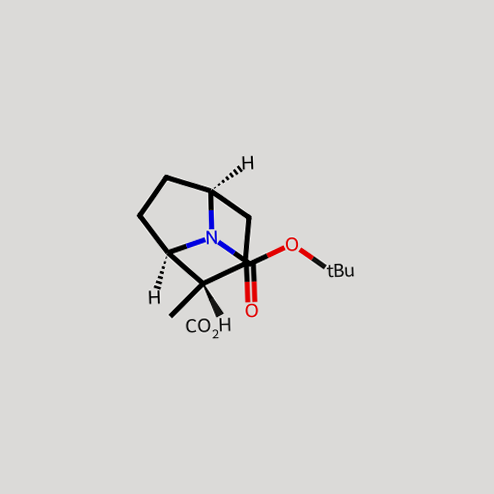 CC(C)(C)OC(=O)N1[C@H]2CC[C@@H]1[C@](C)(C(=O)O)CC2